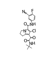 CC(C)(C)NC(=O)C(=O)c1c(Cl)c(C(=O)Nc2ccc(F)c(C#N)c2)n2c1CCC2